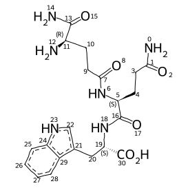 NC(=O)CC[C@H](NC(=O)CC[C@@H](N)C(N)=O)C(=O)N[C@@H](Cc1c[nH]c2ccccc12)C(=O)O